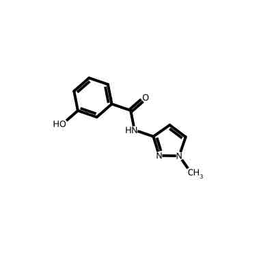 Cn1ccc(NC(=O)c2cccc(O)c2)n1